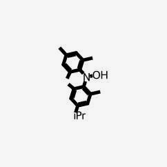 Cc1cc(C)c(N(O)c2c(C)cc(C(C)C)cc2C)c(C)c1